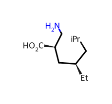 CC[C@H](CC(C)C)C[C@H](CN)C(=O)O